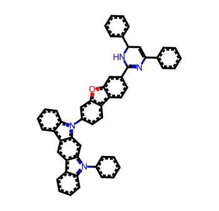 C1=C(c2ccccc2)N=C(c2ccc3c(c2)oc2cc(-n4c5ccccc5c5cc6c7ccccc7n(-c7ccccc7)c6cc54)ccc23)NC1c1ccccc1